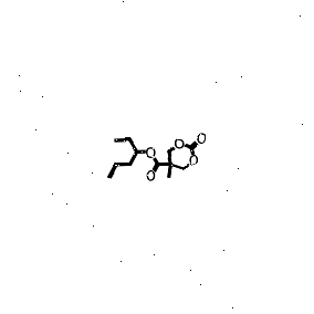 CCCC(CC)OC(=O)C1(C)COC(=O)OC1